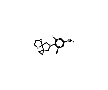 Nc1cc(F)c(N2CC3(CC3)C3(C2)OCCO3)c(F)c1